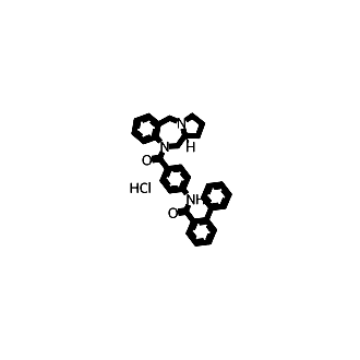 Cl.O=C(Nc1ccc(C(=O)N2C[C@@H]3CCCN3Cc3ccccc32)cc1)c1ccccc1-c1ccccc1